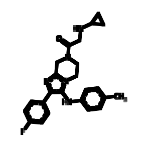 Cc1ccc(Nc2c(-c3ccc(F)cc3)nc3n2CCN(C(=O)CNC2CC2)C3)cc1